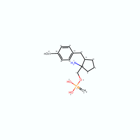 C=P(O)(O)OCC1(N)CCCC1Cc1ccc(CCCCCCCC)cc1